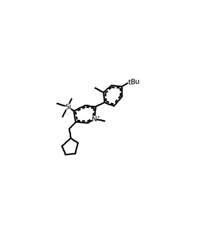 Cc1cc(C(C)(C)C)ccc1-c1cc([Si](C)(C)C)c(CC2CCCC2)c[n+]1C